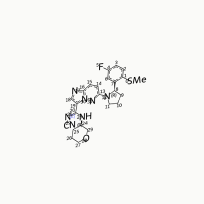 CSc1ccc(F)cc1[C@H]1CCCN1c1ccc2ncc(/C(=N/C#N)N[C@@H]3CCCOC3)n2n1